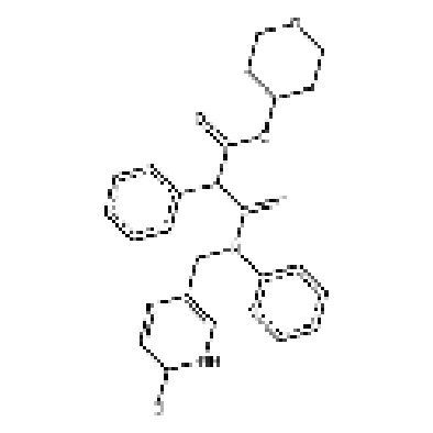 O=C(OC1CCOCC1)C(C(=O)N(CC1=CNC(Cl)C=C1)c1ccccn1)c1ccccc1